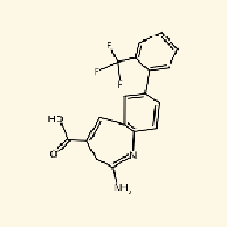 NC1=Nc2ccc(-c3ccccc3C(F)(F)F)cc2C=C(C(=O)O)C1